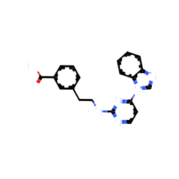 O=C(O)c1cccc(CCNc2nccc(-n3cnc4ccccc43)n2)c1